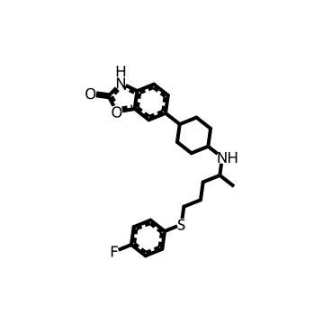 CC(CCCSc1ccc(F)cc1)NC1CCC(c2ccc3[nH]c(=O)oc3c2)CC1